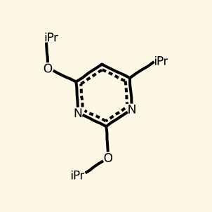 CC(C)Oc1cc(C(C)C)nc(OC(C)C)n1